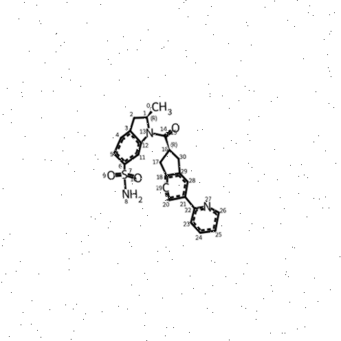 C[C@@H]1Cc2ccc(S(N)(=O)=O)cc2N1C(=O)[C@@H]1Cc2ccc(-c3ccccn3)cc2C1